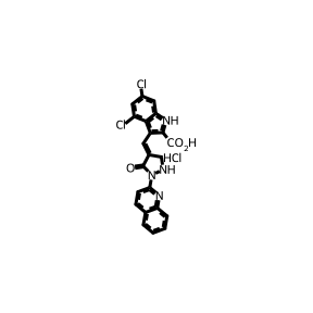 Cl.O=C(O)c1[nH]c2cc(Cl)cc(Cl)c2c1C=C1CNN(c2ccc3ccccc3n2)C1=O